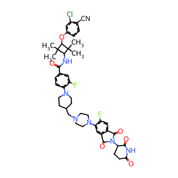 CC1(C)C(NC(=O)c2ccc(N3CCC(CN4CCN(c5cc6c(cc5F)C(=O)N(C5CCC(=O)NC5=O)C6=O)CC4)CC3)c(F)c2)C(C)(C)C1Oc1ccc(C#N)c(Cl)c1